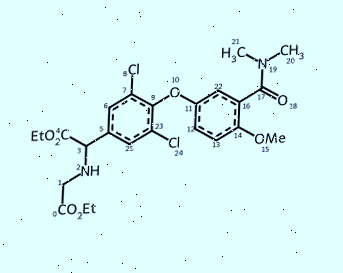 CCOC(=O)CNC(C(=O)OCC)c1cc(Cl)c(Oc2ccc(OC)c(C(=O)N(C)C)c2)c(Cl)c1